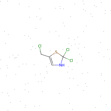 ClCC1=CNC(Cl)(Cl)S1